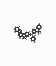 CC1(C)c2cc(N(c3ccccc3)c3ccc4c(c3)C(C)(C)C3CCCCC43)ccc2-c2c1ccc1c2sc2ccccc21